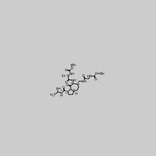 CC[C@H](NC(=O)OC(C)(C)C)C(=O)N[C@@H]1C(=O)N2[C@@H](CC[C@@H]1CNC(=O)CNC(=O)OC(C)(C)C)CC[C@H]2C(=O)NC(P)P